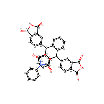 O=C1OC(=O)c2cc(C34c5ccccc5C(c5ccc6c(c5)C(=O)OC6=O)(c5ccccc53)C3C(=O)N(c5ccccc5)C(=O)C34)ccc21